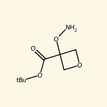 CC(C)(C)OC(=O)C1(ON)COC1